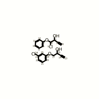 C#CC(O)C(Cl)Oc1ccccc1.C#CC(O)COc1cccc(Cl)c1